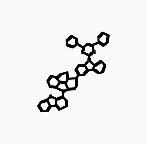 c1ccc(-c2cc(-c3ccccc3)nc(-n3c4ccccc4c4cc(-c5ccc6c7c5ccc5cccc(c57)n6-c5cccc6c5sc5ccccc56)ccc43)n2)cc1